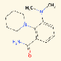 CN(C)c1cccc(C(N)=O)c1N1CCCCC1